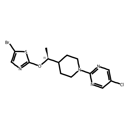 C[C@H](Oc1ncc(Br)s1)C1CCN(c2ncc(Cl)cn2)CC1